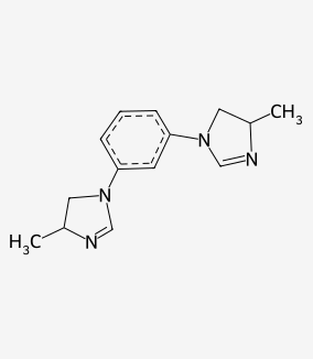 CC1CN(c2cccc(N3C=NC(C)C3)c2)C=N1